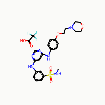 CNS(=O)(=O)c1cccc(Nc2cc(Nc3ccc(OCCN4CCOCC4)cc3)ncn2)c1.O=C(O)C(F)(F)F